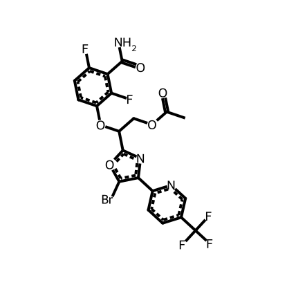 CC(=O)OCC(Oc1ccc(F)c(C(N)=O)c1F)c1nc(-c2ccc(C(F)(F)F)cn2)c(Br)o1